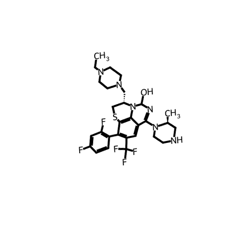 CCN1CCN(C[C@H]2CSc3c(-c4ccc(F)cc4F)c(C(F)(F)F)cc4c3N2C(O)N=C4N2CCNC[C@@H]2C)CC1